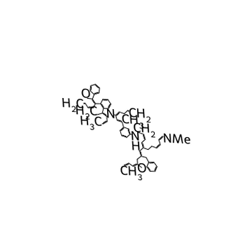 C=C/C=C\C(=C1/COc2ccccc21)c1cccc2c1c(C=C)c(/C=C\C)n2C(/C=C(\C)c1cccc(NC(=C)\C=C/C=C(/C=C2/C/C(=C\C=C/C)Oc3ccccc3C2)CC/C=C\C=C/NC)c1)=C/CC=C